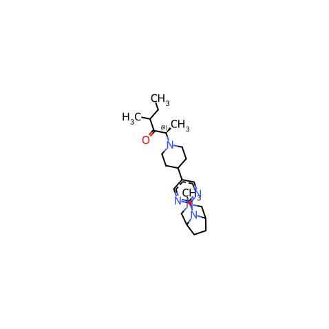 CCC(C)C(=O)[C@@H](C)N1CCC(c2cnc(N3C4CCC3CN(C)C4)nc2)CC1